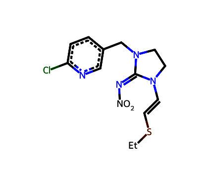 CCSC=CN1CCN(Cc2ccc(Cl)nc2)C1=N[N+](=O)[O-]